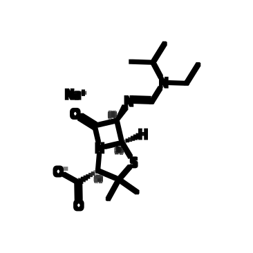 CCN(C=N[C@@H]1C(=O)N2[C@@H]1SC(C)(C)[C@@H]2C(=O)[O-])C(C)C.[Na+]